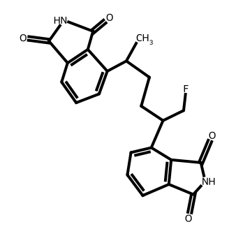 CC(CCC(CF)c1cccc2c1C(=O)NC2=O)c1cccc2c1C(=O)NC2=O